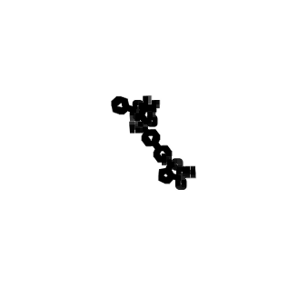 O=C(Nc1ccc(C2CCN(C(=O)C3CCCC3C(=O)O)CC2)cc1)c1nc(-c2ccccc2)oc1C(F)(F)F